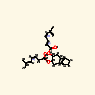 C=C(C)/C=C\C=C\C(=O)OC1CC2C3CCC(C3)C2CC1OC(=O)C/C=C\C=C(C)C